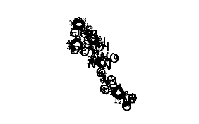 O=c1nc(OCCS(=O)(=O)c2ccc([N+](=O)[O-])cc2)c2ncn([C@@H]3O[C@@H]4COP(=S)(Oc5ccccc5Cl)OC4C3OC3CCCCO3)c2[nH]1